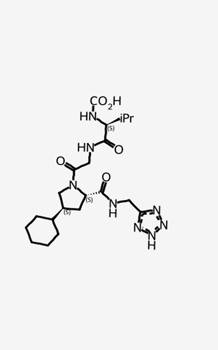 CC(C)[C@H](NC(=O)O)C(=O)NCC(=O)N1C[C@H](C2CCCCC2)C[C@H]1C(=O)NCc1nn[nH]n1